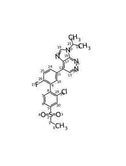 CCS(=O)(=O)c1ccc(-c2cc(-c3cnnc4c3ncn4C(C)C)ccc2F)c(Cl)c1